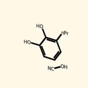 CCCc1cccc(O)c1O.N#CO